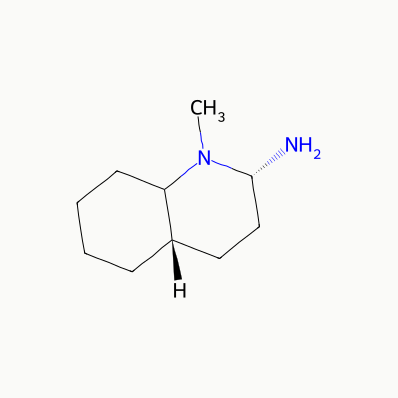 CN1C2CCCC[C@H]2CC[C@H]1N